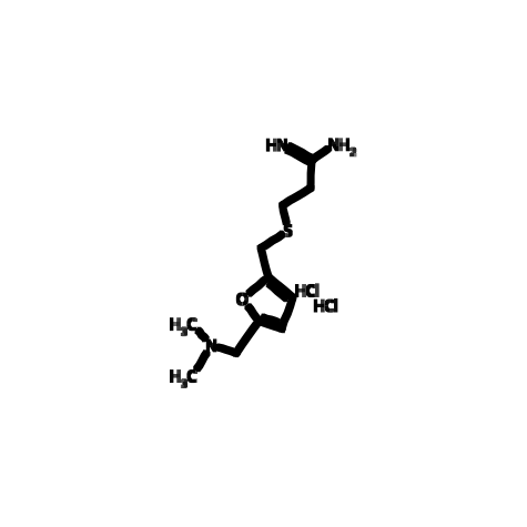 CN(C)Cc1ccc(CSCCC(=N)N)o1.Cl.Cl